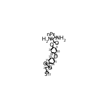 CCCC(N)C(N)C(=O)Oc1ccc(Oc2ccc(S(=O)(=O)CC3CS3)cc2)cc1